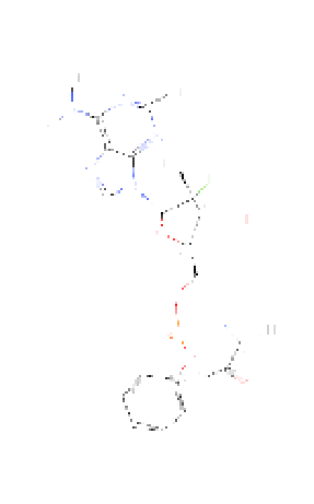 COC(=O)[C@@H](C)N[P@](=O)(OC[C@H]1O[C@@H](n2cnc3c(N(C)C)nc(C)nc32)[C@](C)(F)[C@@H]1O)Oc1ccccc1